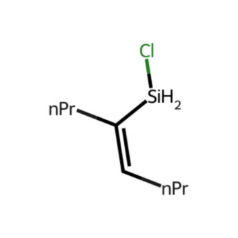 CCCC=C(CCC)[SiH2]Cl